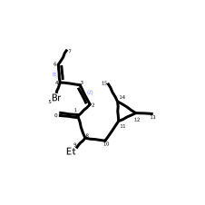 C=C(/C=C\C(Br)=C/C)C(CC)CC1C(C)C1C